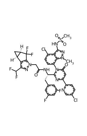 Cn1nc(NS(C)(=O)=O)c2c(Cl)ccc(-n3c([C@H](Cc4cc(F)cc(F)c4)NC(=O)Cn4nc(C(F)F)c5c4C(F)(F)[C@@H]4C[C@H]54)nc(-c4ccc(Cl)cn4)cc3=O)c21